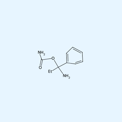 CCC(N)(OC(N)=O)c1ccccc1